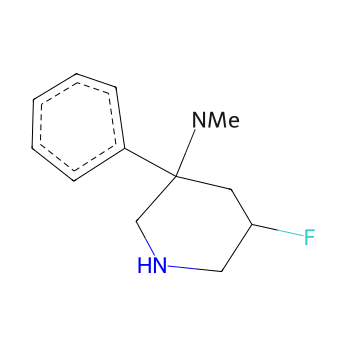 CNC1(c2ccccc2)CNCC(F)C1